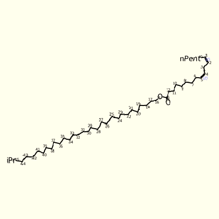 CCCCC/C=C\C/C=C\CCCCCCCC(=O)OCCCCCCCCCCCCCCCCCCCCCCCCCCCCCC(C)C